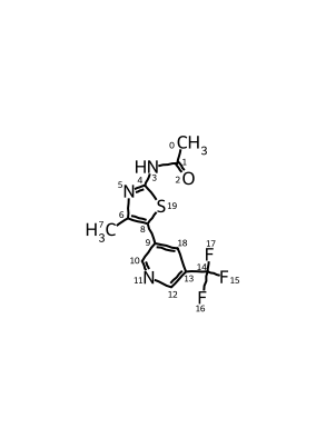 CC(=O)Nc1nc(C)c(-c2cncc(C(F)(F)F)c2)s1